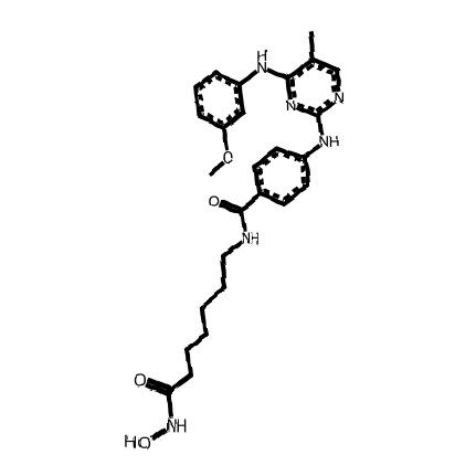 COc1cccc(Nc2nc(Nc3ccc(C(=O)NCCCCCCC(=O)NO)cc3)ncc2C)c1